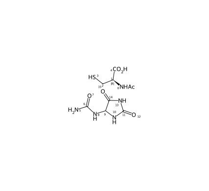 CC(=O)N[C@@H](CS)C(=O)O.NC(=O)NC1NC(=O)NC1=O